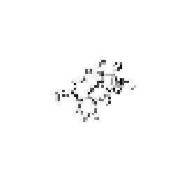 NC(=O)C1(N(c2ccc(Br)c3ccccc23)[SH](=O)=O)CC1